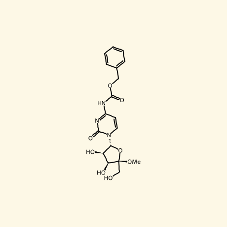 CO[C@]1(CO)O[C@@H](n2ccc(NC(=O)OCc3ccccc3)nc2=O)[C@H](O)[C@@H]1O